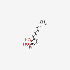 CCCCCCCCc1cccc(C(=O)O)c1O